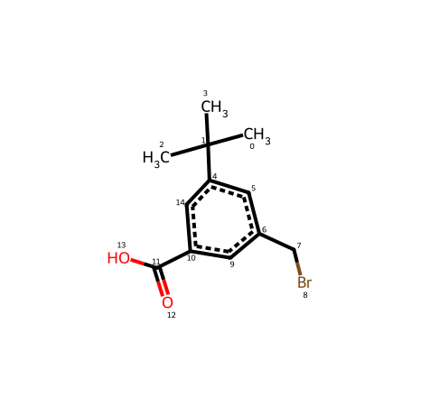 CC(C)(C)c1cc(CBr)cc(C(=O)O)c1